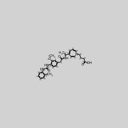 COc1cc(CC(=O)NC(C)C2=CC=CN(CCCC(=O)O)C=C2)ccc1NC(=O)Nc1ccccc1C